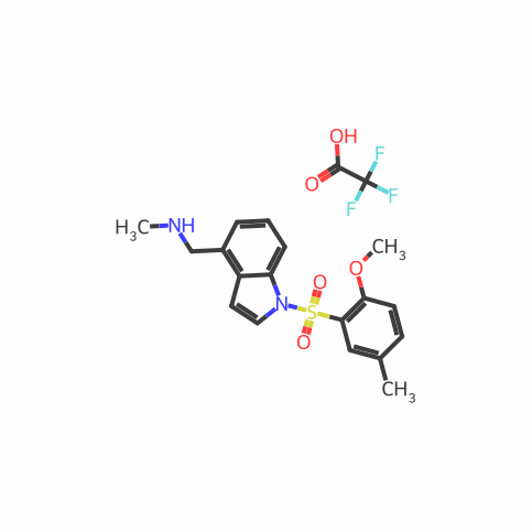 CNCc1cccc2c1ccn2S(=O)(=O)c1cc(C)ccc1OC.O=C(O)C(F)(F)F